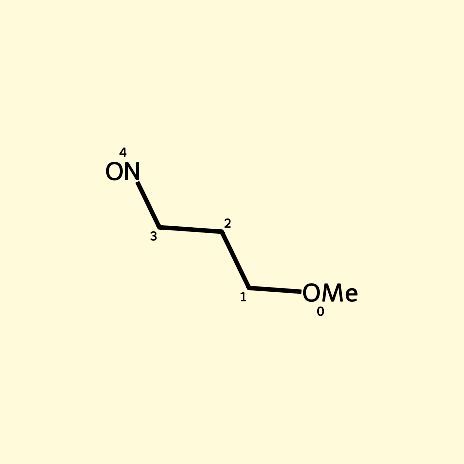 COCCCN=O